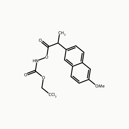 COc1ccc2cc(C(C)C(=O)ONC(=O)OCC(Cl)(Cl)Cl)ccc2c1